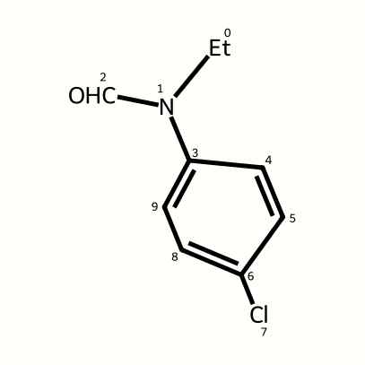 [CH2]CN(C=O)c1ccc(Cl)cc1